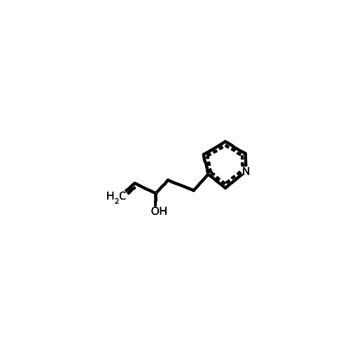 C=CC(O)CCc1cccnc1